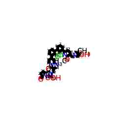 COc1nc(-c2cccc(-c3cccc(-c4ccn5c(=O)c(CN(C[C@@H]6CCC(=O)N6)C(=O)O)cnc5c4)c3Cl)c2Cl)ccc1CN1CC(C)(O)C1